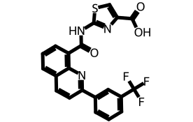 O=C(O)c1csc(NC(=O)c2cccc3ccc(-c4cccc(C(F)(F)F)c4)nc23)n1